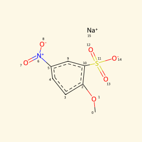 COc1ccc([N+](=O)[O-])cc1S(=O)(=O)[O-].[Na+]